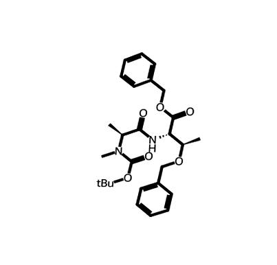 C[C@@H](OCc1ccccc1)[C@H](NC(=O)[C@H](C)N(C)C(=O)OC(C)(C)C)C(=O)OCc1ccccc1